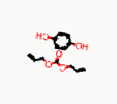 C=CCOC(=O)OCC=C.Oc1ccc(O)cc1